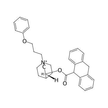 O=C(O[C@H]1C[N+]2(CCCOc3ccccc3)CCC1CC2)C1c2ccccc2Cc2ccccc21